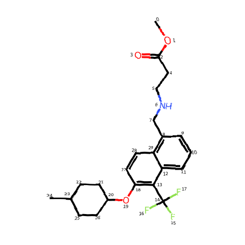 COC(=O)CCNCc1cccc2c(C(F)(F)F)c(OC3CCC(C)CC3)ccc12